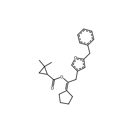 CC1(C)CC1C(=O)OC(Cc1coc(Cc2ccccc2)c1)=C1CCCC1